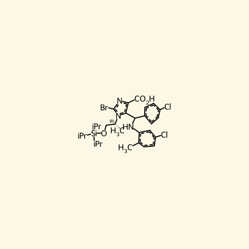 Cc1ccc(Cl)cc1NC(c1ccc(Cl)cc1)c1c(C(=O)O)nc(Br)n1[C@H](C)CO[Si](C(C)C)(C(C)C)C(C)C